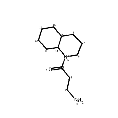 NCCC(=O)N1CCCC2CCCCC21